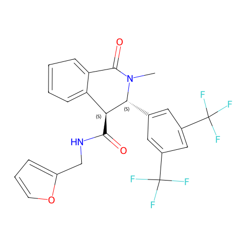 CN1C(=O)c2ccccc2[C@H](C(=O)NCc2ccco2)[C@H]1c1cc(C(F)(F)F)cc(C(F)(F)F)c1